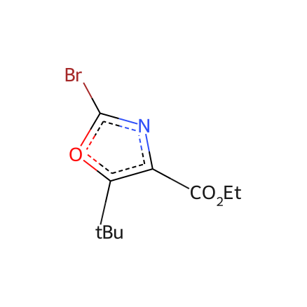 CCOC(=O)c1nc(Br)oc1C(C)(C)C